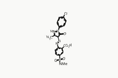 CNS(=O)(=O)c1ccc(N=Nc2c(C)[nH]n(-c3ccc(Cl)cc3)c2=O)c(C(=O)O)c1